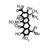 CCC(C)N(c1cc([N+](=O)[O-])c(O)c2c1CC1CC3[C@H](N(C)C)C(O)=C(C(N)=O)C(=O)[C@@]3(O)C(O)=C1C2=O)C(C)C.O=S(=O)(O)O